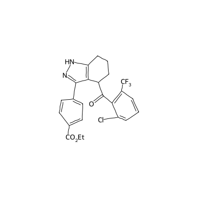 CCOC(=O)c1ccc(-c2n[nH]c3c2C(C(=O)c2c(Cl)cccc2C(F)(F)F)CCC3)cc1